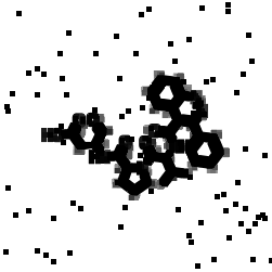 CC(C)[C@H](NC(=O)c1c(-c2ccccc2)nnc2ccccc12)C(=O)N1CCCC1C(=O)N[C@H](C=O)CC(=O)O